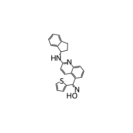 O/N=C(\c1cccs1)c1cccc2nc(N[C@@H]3CCc4ccccc43)ccc12